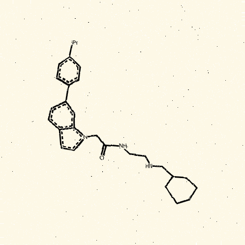 CC(C)c1ccc(-c2ccc3ccn(CC(=O)NCCNCC4CCCCC4)c3c2)cc1